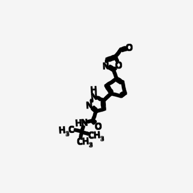 CC(C)(C)NC(=O)c1cc(-c2cccc(-c3ncc(C=O)o3)c2)[nH]n1